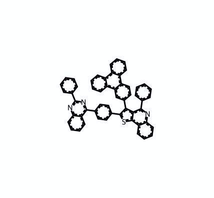 c1ccc(-c2nc(-c3ccc(-c4sc5c(c(-c6ccccc6)nc6ccccc65)c4-c4ccc5c6ccccc6c6ccccc6c5c4)cc3)c3ccccc3n2)cc1